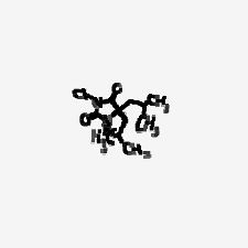 CC(C)CC1(CC(C)C)C(=O)N(Cl)C(=O)N1Br